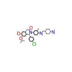 COc1cc2c(cc1OC(C)C)[C@H](c1ccc(Cl)cc1)N(c1ccc(N(C)CC3CCC(N(C)C)CC3)c(C)c1)C(=O)C2